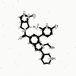 CCc1ccc(-c2cc(C(=O)N3Cc4cnn(CC)c4C3)cc3cc(C4=CCCNC4)n(CC(C)C)c23)c(C)n1